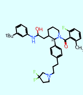 Cc1cccc(F)c1C(=O)N1CCCC(CC(O)Nc2cccc(C(C)(C)C)c2)[C@@H]1c1ccc(CCCN2CCC(F)(F)C2)cc1